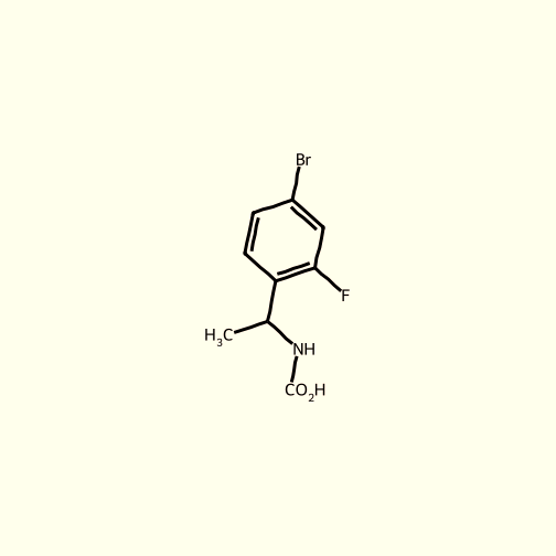 CC(NC(=O)O)c1ccc(Br)cc1F